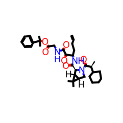 C=CCCC(NC(=O)[C@@H]1[C@@H]2[C@H](CN1C(=O)[C@@H](C)C1CCCCC1)C2(C)C)C(=O)C(=O)NCC(=O)OC(C)(C)c1ccccc1